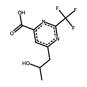 CC(O)Cc1cc(C(=O)O)nc(C(F)(F)F)n1